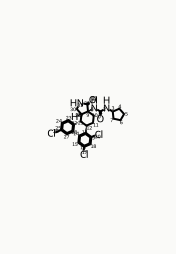 O=C(NC1CCCC1)N[C@@]12CC[C@@H](c3ccc(Cl)cc3Cl)[C@H](c3ccc(Cl)cc3)[C@@H]1CNC2=O